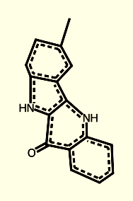 Cc1ccc2[nH]c3c(=O)c4ccccc4[nH]c3c2c1